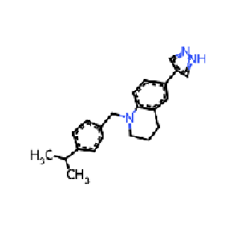 CC(C)c1ccc(CN2CCCc3cc(-c4cn[nH]c4)ccc32)cc1